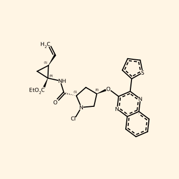 C=C[C@@H]1C[C@]1(NC(=O)[C@@H]1C[C@@H](Oc2nc3ccccc3nc2-c2cccs2)CN1Cl)C(=O)OCC